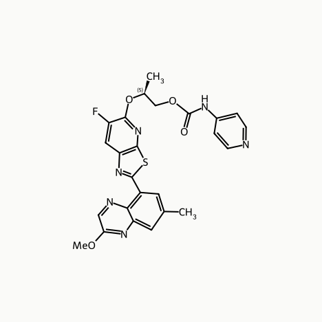 COc1cnc2c(-c3nc4cc(F)c(O[C@@H](C)COC(=O)Nc5ccncc5)nc4s3)cc(C)cc2n1